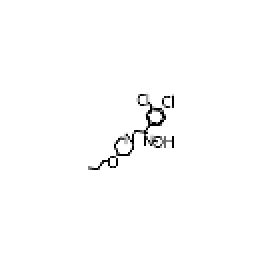 CCCOC1CCN(CC(=NO)c2ccc(Cl)c(Cl)c2)CC1